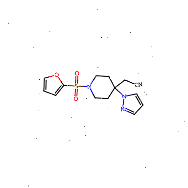 N#CCC1(n2cccn2)CCN(S(=O)(=O)c2ccco2)CC1